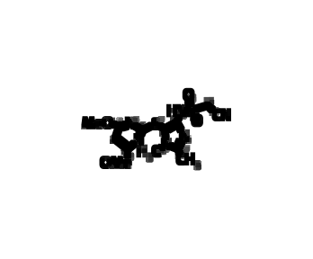 COc1cc(OC)nc(Sc2c(NS(=O)(=O)CC#N)nc(C)n2C)n1